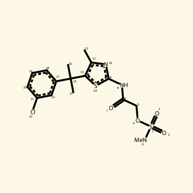 CNS(=O)(=O)OCC(=O)Nc1nc(C)c(C(C)(C)c2cccc(Cl)c2)s1